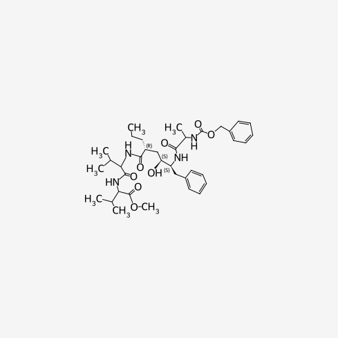 CCC[C@H](C[C@H](O)[C@H](Cc1ccccc1)NC(=O)C(C)NC(=O)OCc1ccccc1)C(=O)NC(C(=O)NC(C(=O)OC)C(C)C)C(C)C